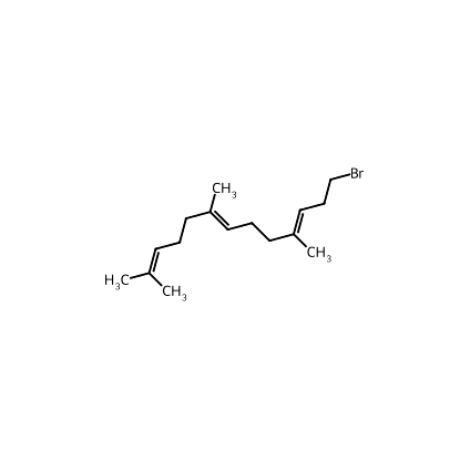 CC(C)=CCCC(C)=CCCC(C)=CCCBr